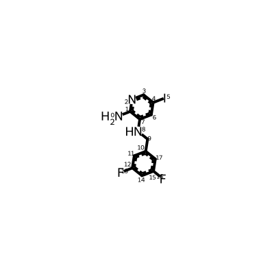 Nc1ncc(I)cc1NCc1cc(F)cc(F)c1